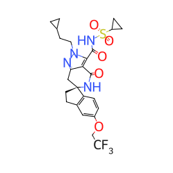 O=C1N[C@@]2(CCc3cc(OCC(F)(F)F)ccc32)Cc2nn(CCC3CC3)c(C(=O)NS(=O)(=O)C3CC3)c21